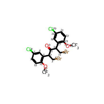 O=C(C(CBr)c1cc(Cl)ccc1OC(F)(F)F)C(CBr)c1cc(Cl)ccc1OC(F)(F)F